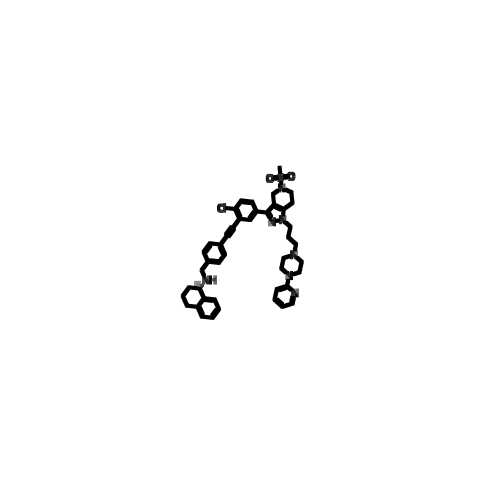 CS(=O)(=O)N1CCc2c(c(-c3ccc(Cl)c(C#Cc4ccc(CN[C@H]5CCCc6ccccc65)cc4)c3)nn2CCCN2CCN(c3ccccn3)CC2)C1